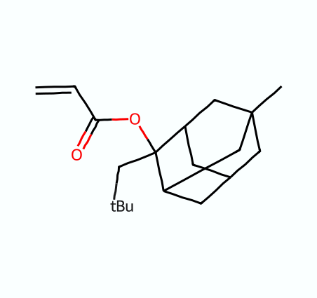 C=CC(=O)OC1(CC(C)(C)C)C2CC3CC1CC(C)(C3)C2